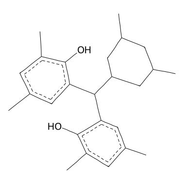 Cc1cc(C)c(O)c(C(c2cc(C)cc(C)c2O)C2CC(C)CC(C)C2)c1